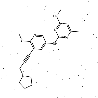 CNc1cc(C)nc(Nc2cnc(OC)c(C#CCN3CCCC3)c2)n1